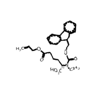 C=CCOC(=O)CCC[C@@H](C(=O)O)N(C)C(=O)OCC1c2ccccc2-c2ccccc21